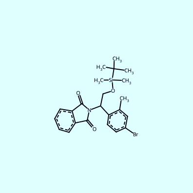 Cc1cc(Br)ccc1C(CO[Si](C)(C)C(C)(C)C)N1C(=O)c2ccccc2C1=O